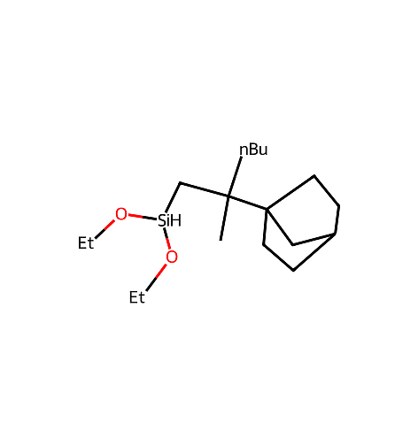 CCCCC(C)(C[SiH](OCC)OCC)C12CCC(CC1)C2